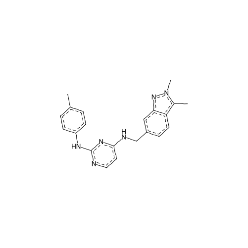 Cc1ccc(Nc2nccc(NCc3ccc4c(C)n(C)nc4c3)n2)cc1